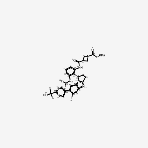 CC(C)(C)OC(=O)N1CC(C(=O)Nc2cccc(OC(F)F)c2[C@H]2CCc3nc4cc(F)c(-c5cnc(C(C)(C)O)nc5)cc4n32)C1